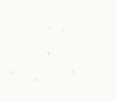 CC(C)C1CCCN(C2=C(C(F)(F)F)C(Oc3ccccc3)=CC=C([N+](=O)[O-])C2)C1